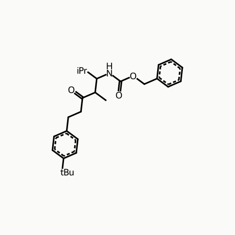 CC(C)C(NC(=O)OCc1ccccc1)C(C)C(=O)CCc1ccc(C(C)(C)C)cc1